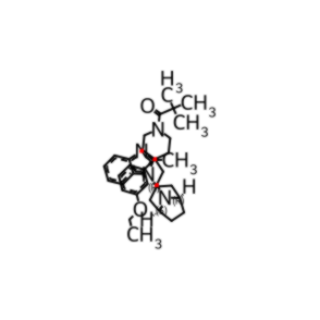 CCOc1cccc(C2(CCN3[C@@H]4CC[C@H]3C[C@@H](n3c(C)nc5ccccc53)C4)CCN(C(=O)C(C)(C)C)CC2)c1